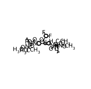 COC(=O)NC(C(=O)N1CC2(CC2)C[C@H]1C(=O)Nc1ccc2c(c1)cc1n2C(c2cc(F)cc(F)c2)Oc2cc(NC(=O)[C@@H]3CC4(CC4)CN3C(=O)[C@@H](NC(=O)OC)C(C)C)ccc2-1)C(C)C